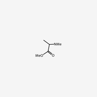 [CH2]NC(C)C(=O)OC